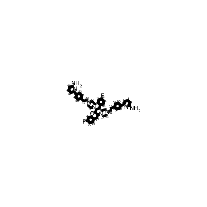 Nc1cccc(-c2ccc(CCN3CCN(C(Cc4ccc(F)cc4)C(=O)C(Cc4ccc(F)cc4)N4CCN(CCc5ccc(-c6cccc(N)n6)cc5)CC4)CC3)cc2)n1